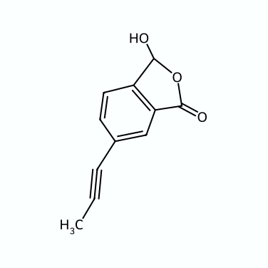 CC#Cc1ccc2c(c1)C(=O)OC2O